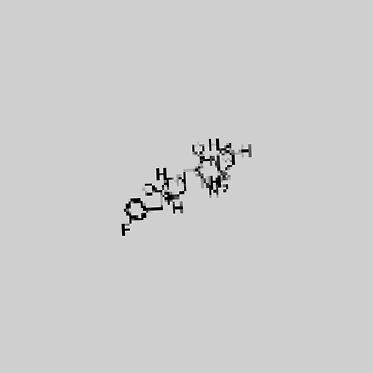 N#C[C@@H]1C[C@@H]2C[C@@H]2N1C(=O)[C@@H](N)CN1C[C@@H]2C[C@H]1C(=O)N2Cc1cccc(F)c1